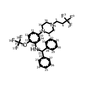 FC(F)(F)CCN1CCN(c2ccc(OC(F)(F)F)c(NC(c3ccccc3)c3ccccc3)c2)CC1